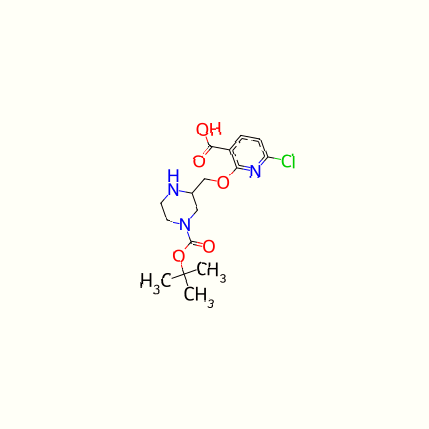 CC(C)(C)OC(=O)N1CCNC(COc2nc(Cl)ccc2C(=O)O)C1